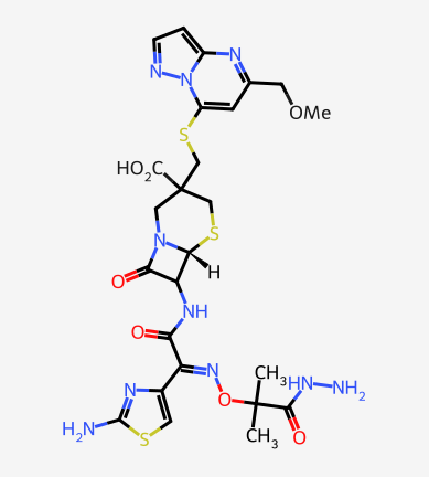 COCc1cc(SCC2(C(=O)O)CS[C@@H]3C(NC(=O)C(=NOC(C)(C)C(=O)NN)c4csc(N)n4)C(=O)N3C2)n2nccc2n1